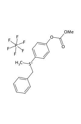 COC(=O)Oc1ccc([S+](C)Cc2ccccc2)cc1.F[P-](F)(F)(F)(F)F